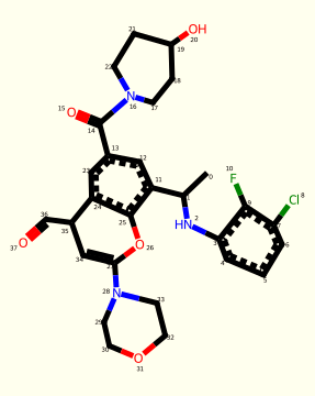 CC(Nc1cccc(Cl)c1F)c1cc(C(=O)N2CCC(O)CC2)cc2c1OC(N1CCOCC1)=CC2C=O